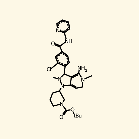 CN1CC=C2C(=C1N)C(c1ccc(C(=O)Nc3ccccn3)cc1Cl)N(C)N2C1CCCN(C(=O)OC(C)(C)C)C1